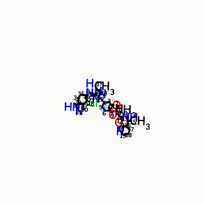 COC/C=C(\C=C/C(C)OCC(=O)NC(C)c1cccnc1)c1nc(NC2=C(Cl)c3cn[nH]c3CC2)n(C)n1